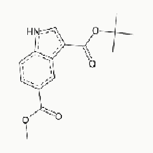 COC(=O)c1ccc2[nH]cc(C(=O)OC(C)(C)C)c2c1